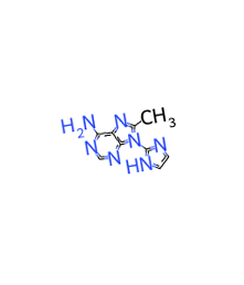 Cc1nc2c(N)ncnc2n1-c1ncc[nH]1